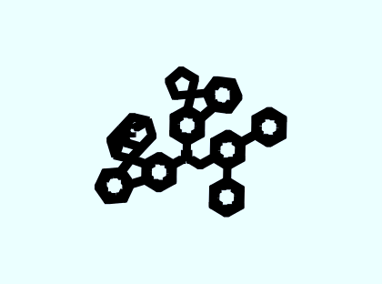 c1ccc(-c2ccc(CN(c3ccc4c(c3)-c3ccccc3C43CCCC3)c3ccc4c(c3)C3(c5ccccc5-4)C4CCC5CC(C4)CC3C5)c(-c3ccccc3)c2)cc1